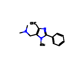 CCCCn1c(-c2ccccc2)nc(C=O)c1CN(C)C